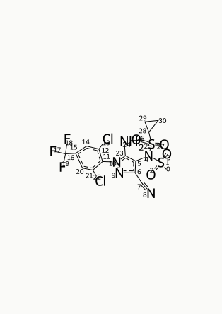 CS(=O)(=O)N(c1c(C#N)nn(-c2c(Cl)cc(C(F)(F)F)cc2Cl)c1N)S(=O)(=O)C1CC1